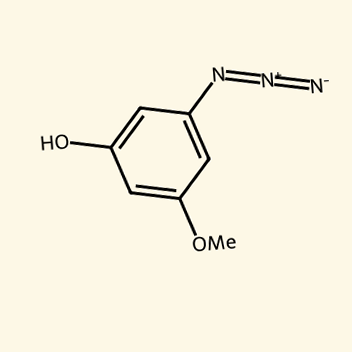 COc1cc(O)cc(N=[N+]=[N-])c1